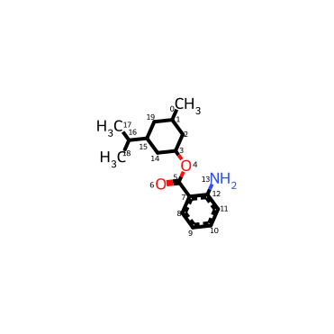 CC1CC(OC(=O)c2ccccc2N)CC(C(C)C)C1